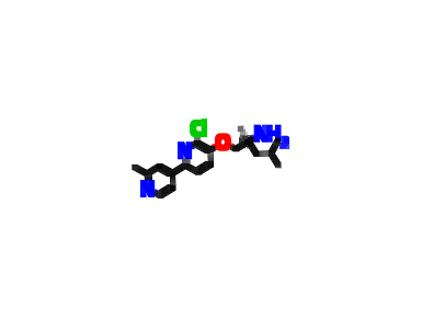 Cc1cc(-c2ccc(OC[C@@](C)(N)CC(C)C)c(Cl)n2)ccn1